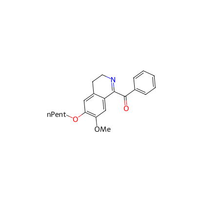 CCCCCOc1cc2c(cc1OC)C(C(=O)c1ccccc1)=NCC2